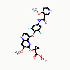 COC(=O)C1(Oc2nc3c(Oc4c(F)cc(NC(=O)c5cnccc5OC)cc4F)ccnc3cc2OC)CC1